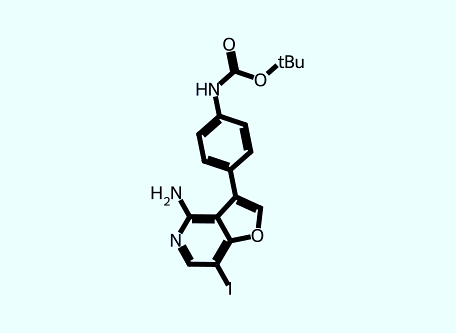 CC(C)(C)OC(=O)Nc1ccc(-c2coc3c(I)cnc(N)c23)cc1